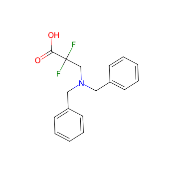 O=C(O)C(F)(F)CN(Cc1ccccc1)Cc1ccccc1